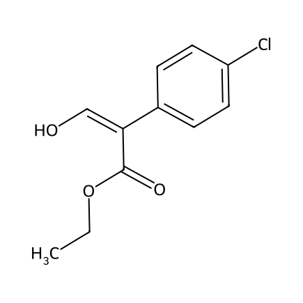 CCOC(=O)C(=CO)c1ccc(Cl)cc1